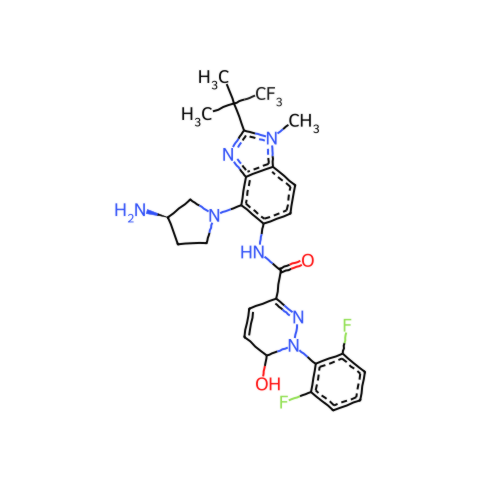 Cn1c(C(C)(C)C(F)(F)F)nc2c(N3CC[C@@H](N)C3)c(NC(=O)C3=NN(c4c(F)cccc4F)C(O)C=C3)ccc21